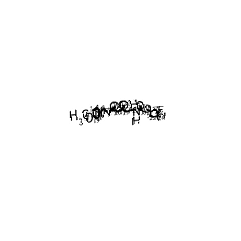 COc1ccc(CNC(=O)CC(O)CCNC(=O)COc2ccc(Cl)c(F)c2)cc1